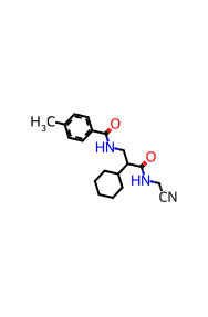 Cc1ccc(C(=O)NCC(C(=O)NCC#N)C2CCCCC2)cc1